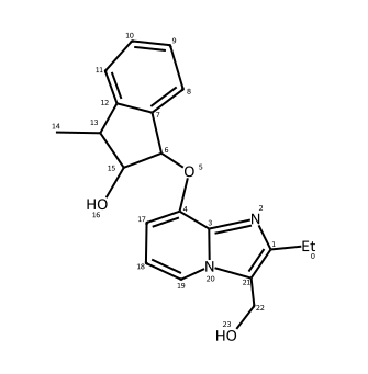 CCc1nc2c(OC3c4ccccc4C(C)C3O)cccn2c1CO